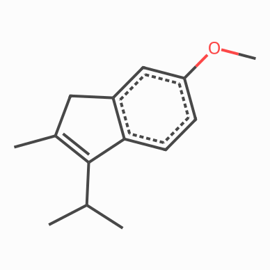 COc1ccc2c(c1)CC(C)=C2C(C)C